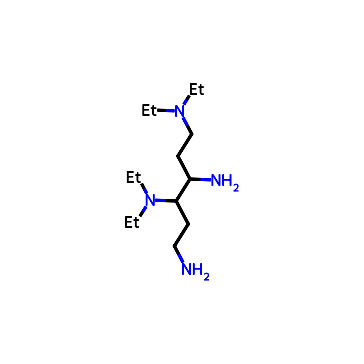 CCN(CC)CCC(N)C(CCN)N(CC)CC